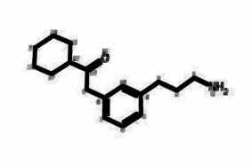 NCCCc1cccc(CC(=O)C2CCCCC2)c1